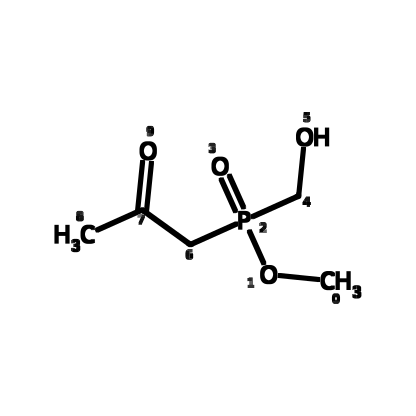 COP(=O)(CO)CC(C)=O